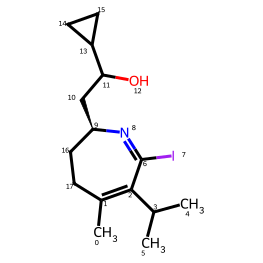 CC1=C(C(C)C)C(I)=N[C@H](CC(O)C2CC2)CC1